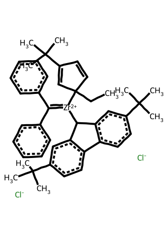 CC[C]1([Zr+2](=[C](c2ccccc2)c2ccccc2)[CH]2c3cc(C(C)(C)C)ccc3-c3ccc(C(C)(C)C)cc32)C=CC(C(C)(C)C)=C1.[Cl-].[Cl-]